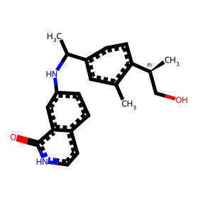 Cc1cc(C(C)Nc2ccc3cc[nH]c(=O)c3c2)ccc1[C@@H](C)CO